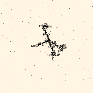 COCCCNC(=O)CCCC(=O)NC(COCCC(=O)NCCCO[C@@H]1OC(CO)[C@H](O)[C@H](O)C1C)(COCCC(=O)NCCCO[C@@H]1OC(CO)[C@H](O)[C@H](O)C1C)COCCC(=O)NOCCO[C@@H]1OC(CO)[C@H](O)[C@H](O)C1C